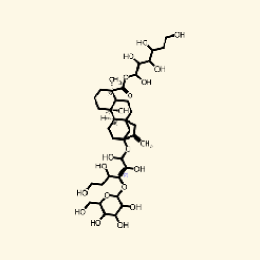 C=C1CC23CCC4[C@](C)(C(=O)OC(O)C(O)C(O)C(O)CCO)CCC[C@@]4(C)[C@@H]2CCC1(OC(O)/C(O)=C(/OC1OC(CO)C(O)C(O)C1O)C(O)CCO)C3